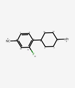 CCCC1CCC(c2ccc(C#N)cc2F)CC1